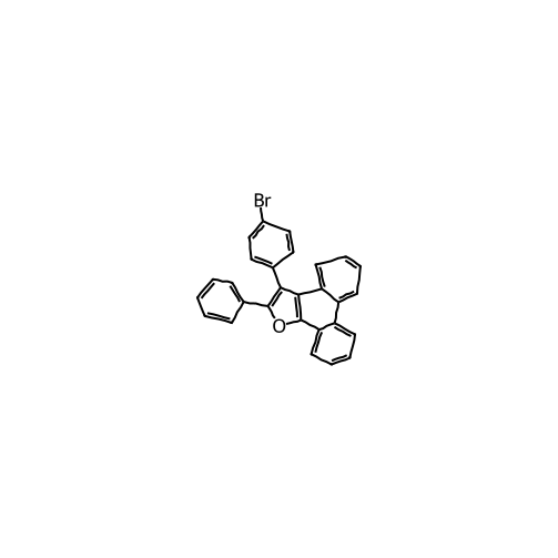 Brc1ccc(-c2c(-c3ccccc3)oc3c4ccccc4c4ccccc4c23)cc1